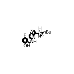 CCCCC1NC(c2cnn3ccc(N[C@H](C)c4cc(F)ccc4O)nc23)=NO1